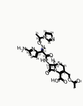 CC(=O)OCC1=C(C(=O)O)N2C(=O)[C@@H](NC(=O)/C(=N/OC(C)n3ccnc3)c3csc(N)n3)[C@H]2SC1